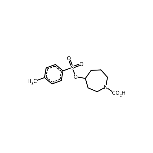 Cc1ccc(S(=O)(=O)OC2CCCN(C(=O)O)CC2)cc1